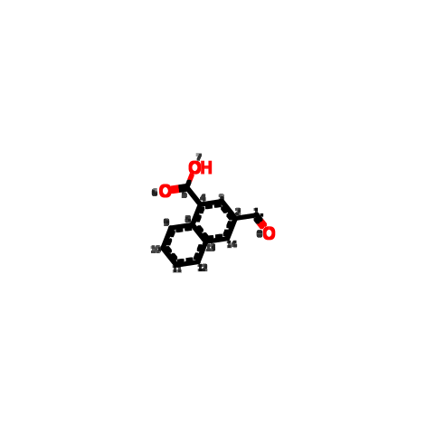 O=[C]c1cc(C(=O)O)c2ccccc2c1